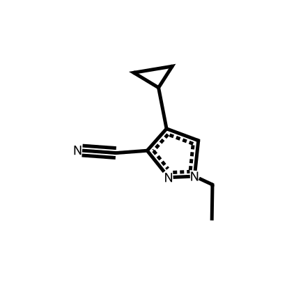 CCn1cc(C2CC2)c(C#N)n1